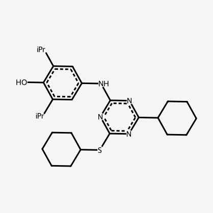 CC(C)c1cc(Nc2nc(SC3CCCCC3)nc(C3CCCCC3)n2)cc(C(C)C)c1O